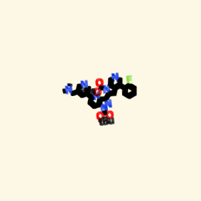 CN(C)Cc1cncc(-c2ccc3c(n2)c(-c2cc4c(-c5ccccc5F)cncc4n2C(=O)OC(C)(C)C)nn3C(=O)OC(C)(C)C)c1